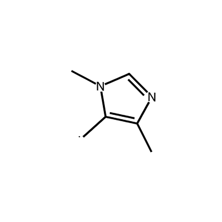 [CH2]c1c(C)ncn1C